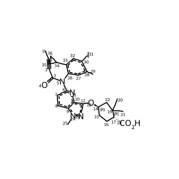 CC#CC(=O)N(c1ccc2c(n1)c(O[C@@H]1CC[C@@H](C(=O)O)C(C)(C)C1)nn2C)c1cc(C)c(I)cc1C1CC1